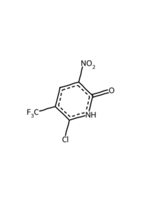 O=c1[nH]c(Cl)c(C(F)(F)F)cc1[N+](=O)[O-]